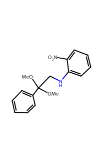 COC(CNc1ccccc1[N+](=O)[O-])(OC)c1ccccc1